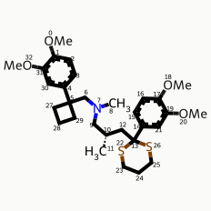 COc1ccc(C2(CN(C)C[C@@H](C)CC3(c4ccc(OC)c(OC)c4)SCCCS3)CCC2)cc1OC